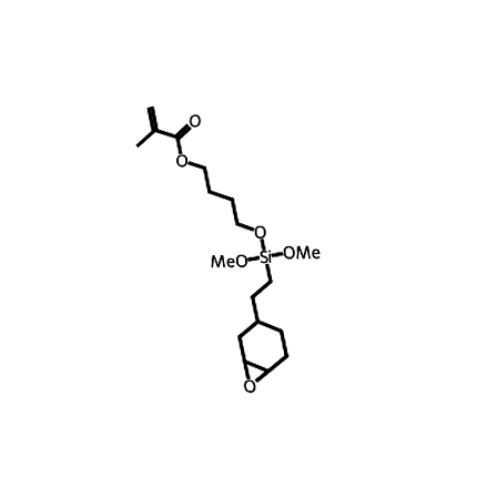 C=C(C)C(=O)OCCCCO[Si](CCC1CCC2OC2C1)(OC)OC